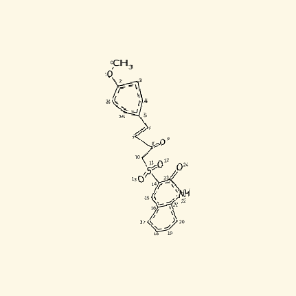 COc1ccc(/C=C/C(=O)CS(=O)(=O)c2cc3ccccc3[nH]c2=O)cc1